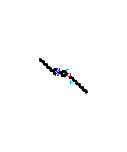 CCCCCCCCc1cnc(-c2ccc(OCCC(F)CCCCCCCC)c(F)c2)nc1